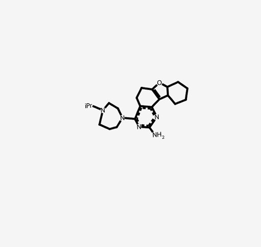 CC(C)N1CCCN(c2nc(N)nc3c2CCC2=C3C3CCCCC3O2)CC1